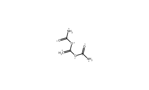 C=C(OC(N)=O)OC(N)=O